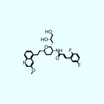 COc1cnc2cccc(CC[C@@H]3CC[C@@H](NC(=O)C=Cc4cc(F)ccc4F)[C@@H](C[C@H](O)CO)O3)c2c1